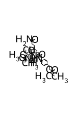 CC(=O)NC(C(=O)N[C@@H](CCCCC(N)=O)C(=O)Nc1ccc(COC(=O)C(C)C)cc1)C(C)C